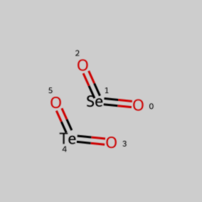 O=[Se]=O.O=[Te]=O